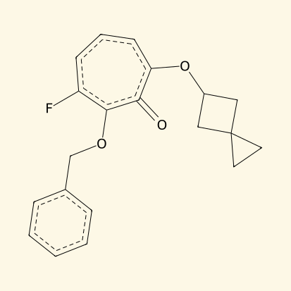 O=c1c(OC2CC3(CC3)C2)cccc(F)c1OCc1ccccc1